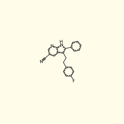 N#Cc1cnc2[nH]c(-c3ccccc3)c(CCc3ccc(F)cc3)c2c1